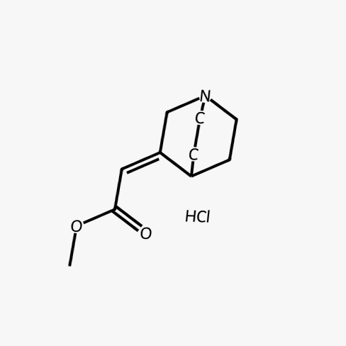 COC(=O)C=C1CN2CCC1CC2.Cl